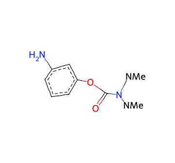 CNN(NC)C(=O)Oc1cccc(N)c1